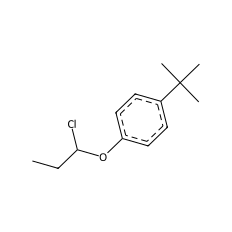 CCC(Cl)Oc1ccc(C(C)(C)C)cc1